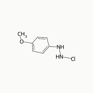 COc1ccc(NNCl)cc1